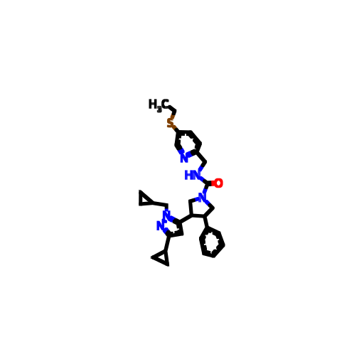 CCSc1ccc(CNC(=O)N2CC(c3ccccc3)C(c3cc(C4CC4)nn3CC3CC3)C2)nc1